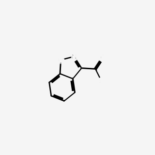 O=C(Cl)c1noc2ccccc12